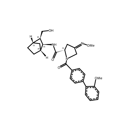 CON=C1C[C@@H](C(=O)N[C@H]2[C@@H]3CC[C@@H](C3)[C@H]2CO)N(C(=O)c2ccc(-c3ccccc3OC)cc2)C1